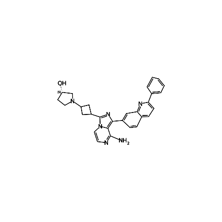 Nc1nccn2c(C3CC(N4CC[C@H](O)C4)C3)nc(-c3ccc4ccc(-c5ccccc5)nc4c3)c12